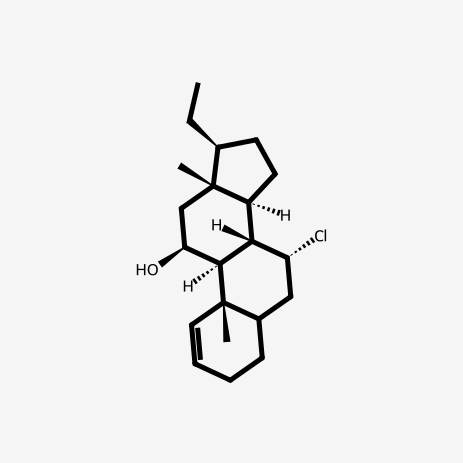 CC[C@H]1CC[C@H]2[C@H]3[C@H]([C@@H](O)C[C@]12C)[C@@]1(C)C=CCCC1C[C@H]3Cl